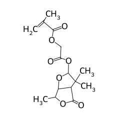 C=C(C)C(=O)OCC(=O)OC1OC2C(C)OC(=O)C2C1(C)C